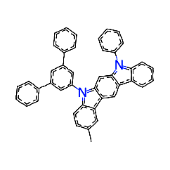 Cc1ccc2c(c1)c1cc3c4ccccc4n(-c4ccccc4)c3cc1n2-c1cc(-c2ccccc2)cc(-c2ccccc2)c1